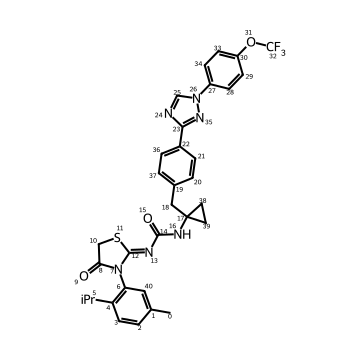 Cc1ccc(C(C)C)c(N2C(=O)CS/C2=N\C(=O)NC2(Cc3ccc(-c4ncn(-c5ccc(OC(F)(F)F)cc5)n4)cc3)CC2)c1